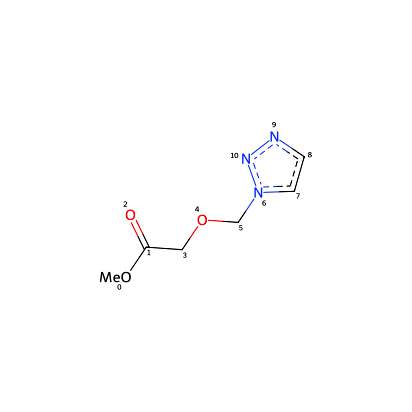 COC(=O)COCn1ccnn1